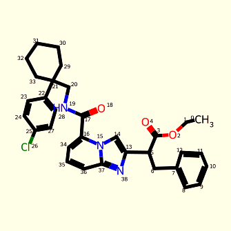 CCOC(=O)C(Cc1ccccc1)c1cn2c(C(=O)NCC3(c4ccc(Cl)cc4)CCCCC3)cccc2n1